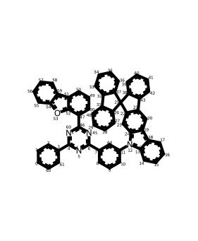 c1ccc(-c2nc(-c3cccc(-n4c5ccccc5c5cc6c(cc54)C4(c5ccccc5-c5ccccc54)c4ccccc4-6)c3)nc(-c3cccc4c3oc3ccccc34)n2)cc1